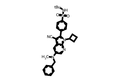 CN(Cc1ccccc1)c1cnc2c(c1)c(C#N)c(-c1ccc(S(=O)(=O)NC(C)(C)C)cc1)n2C1CCC1